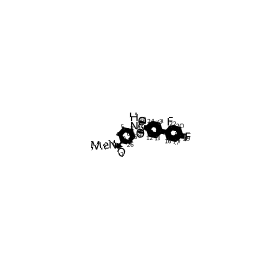 CNC(=O)[C@H]1CC[C@@H](NS(=O)(=O)c2ccc(-c3ccc(F)cc3F)cc2)CC1